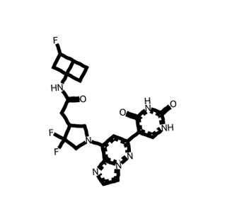 O=C(CC1CN(c2cc(-c3c[nH]c(=O)[nH]c3=O)nn3ccnc23)CC1(F)F)NC12CCC1C(F)C2